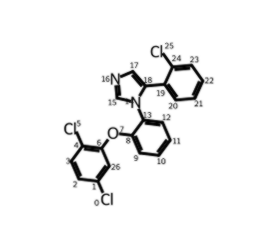 Clc1ccc(Cl)c(Oc2ccccc2-n2cncc2-c2ccccc2Cl)c1